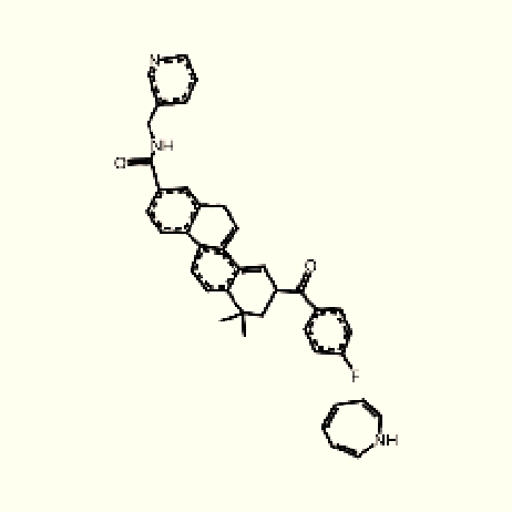 C1=CC=CNC=C1.CC1(C)CC(C(=O)c2ccc(F)cc2)C=c2c1ccc1c2=CCc2cc(C(=O)NCc3cccnc3)ccc2-1